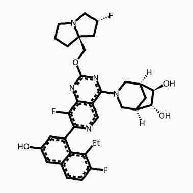 CCc1c(F)ccc2cc(O)cc(-c3ncc4c(N5C[C@H]6C[C@@H](C5)[C@@H](O)[C@@H]6O)nc(OC[C@@]56CCCN5C[C@H](F)C6)nc4c3F)c12